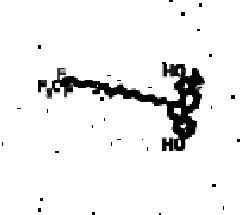 C[C@]12CCC3c4ccc(O)cc4C[C@@H](CCCCCCCCCSCCCC(F)(F)C(F)(F)F)C3C1C[C@@H](O)C21CC1